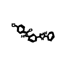 O=C(Nc1cccc(-c2c[nH]c(-c3ccccc3)n2)c1)c1ccc(Cl)cc1